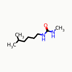 CNC(=O)NCCCCC(C)C